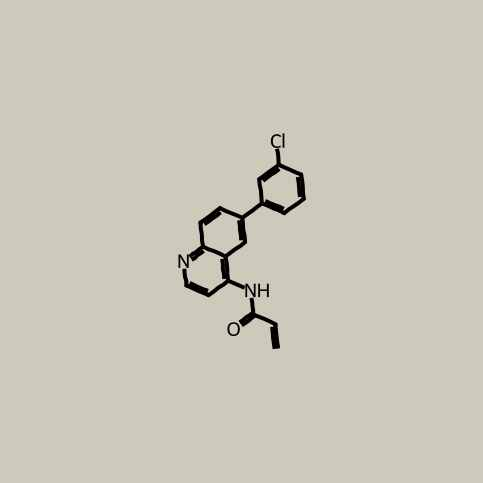 C=CC(=O)Nc1ccnc2ccc(-c3cccc(Cl)c3)cc12